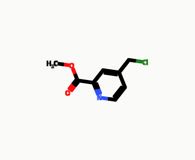 COC(=O)c1cc(CCl)ccn1